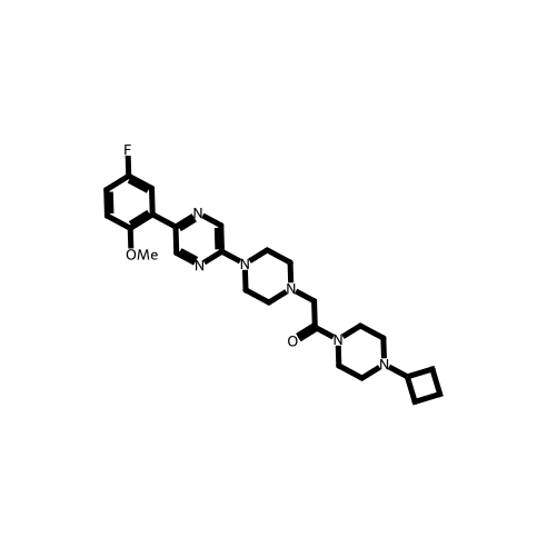 COc1ccc(F)cc1-c1cnc(N2CCN(CC(=O)N3CCN(C4CCC4)CC3)CC2)cn1